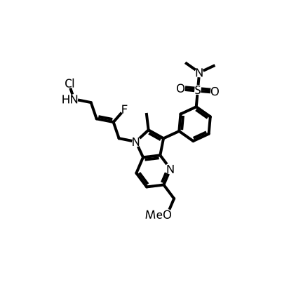 COCc1ccc2c(n1)c(-c1cccc(S(=O)(=O)N(C)C)c1)c(C)n2C/C(F)=C/CNCl